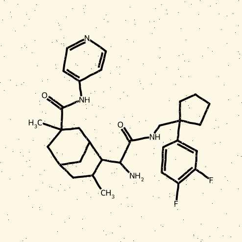 CC1CC2CC(CC(C)(C(=O)Nc3ccncc3)C2)C1C(N)C(=O)NCC1(c2ccc(F)c(F)c2)CCCC1